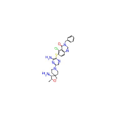 C[C@@H]1OCC2(CCN(c3cnc(Sc4ccc5ncn(Cc6ccccc6)c(=O)c5c4Cl)c(N)n3)CC2)[C@@H]1N